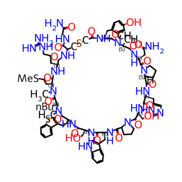 CCCC[C@H]1C(=O)N(C)[C@@H](CCSC)C(=O)N[C@@H](CCCNC(=N)N)C(=O)NC(C(=O)NCC(N)=O)CSCC(=O)N[C@@H](Cc2ccc(O)cc2)C(=O)N(C)[C@@H](C)C(=O)N[C@@H](CC(N)=O)C(=O)N2CCC[C@H]2C(=O)N[C@@H](Cc2cnc[nH]2)C(=O)N[C@@H](CO)C(=O)N2CCCC2C(=O)N[C@@H](Cc2c[nH]c3ccccc23)C(=O)N[C@@H](CO)C(=O)N[C@@H](Cc2csc3ccccc23)C(=O)N1C